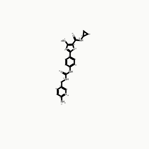 CCCCc1nc(-c2ccc(NC(=O)NCc3ccc(N)nc3)cc2)sc1C(=O)NC1CC1